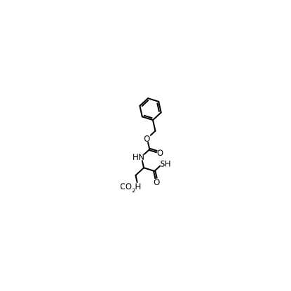 O=C(O)CC(NC(=O)OCc1ccccc1)C(=O)S